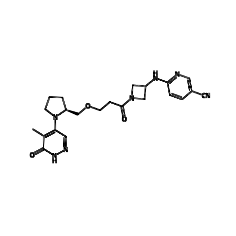 Cc1c(N2CCC[C@H]2COCCC(=O)N2CC(Nc3ccc(C#N)cn3)C2)cn[nH]c1=O